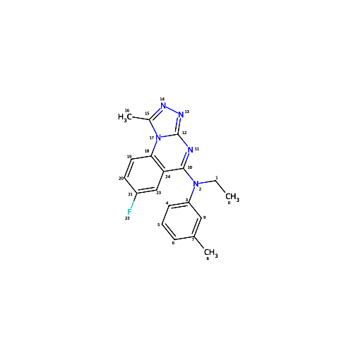 CCN(c1cccc(C)c1)c1nc2nnc(C)n2c2ccc(F)cc12